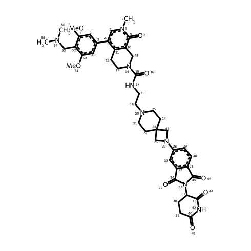 COc1cc(-c2cn(C)c(=O)c3c2CCN(C(=O)NCCN2CCC4(CC2)CN(c2ccc5c(c2)C(=O)N(C2CCC(=O)NC2=O)C5=O)C4)C3)cc(OC)c1CN(C)C